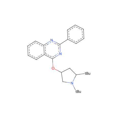 CC(C)(C)C1CC(Oc2nc(-c3ccccc3)nc3ccccc23)CN1C(C)(C)C